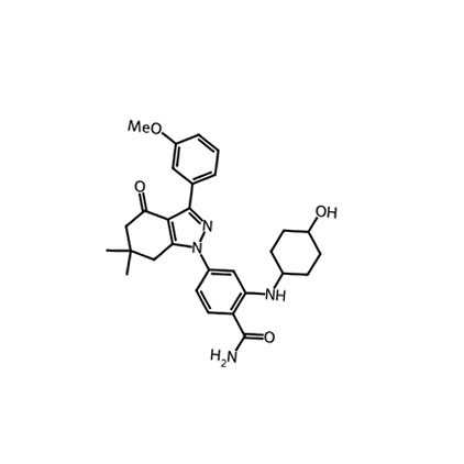 COc1cccc(-c2nn(-c3ccc(C(N)=O)c(NC4CCC(O)CC4)c3)c3c2C(=O)CC(C)(C)C3)c1